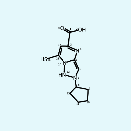 O=C(O)C1=NC2=CN(C3CCCC3)NN2C(S)=C1